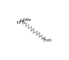 CCOC(OC)OCCCCCCCCCCCCCCC[C]=O